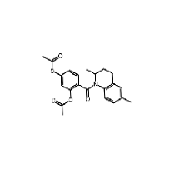 CC(=O)Oc1ccc(C(=O)N2c3ccc(C)cc3CCC2C)c(OC(C)=O)c1